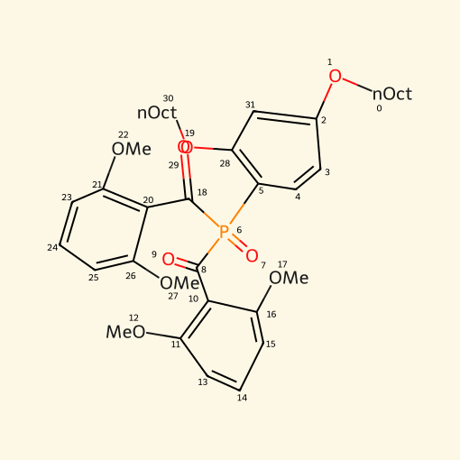 CCCCCCCCOc1ccc(P(=O)(C(=O)c2c(OC)cccc2OC)C(=O)c2c(OC)cccc2OC)c(OCCCCCCCC)c1